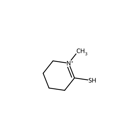 C[N+]1=C(S)CCCC1